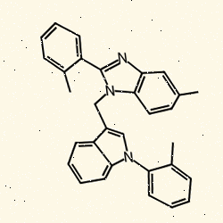 Cc1ccc2c(c1)nc(-c1ccccc1C)n2Cc1cn(-c2ccccc2C)c2ccccc12